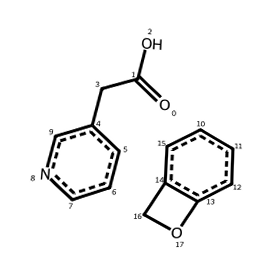 O=C(O)Cc1cccnc1.c1ccc2c(c1)CO2